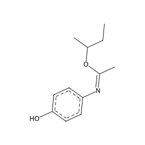 CCC(C)O/C(C)=N\c1ccc(O)cc1